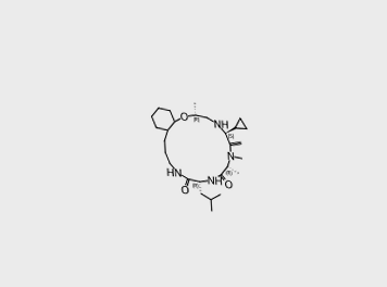 C=C1[C@H](C2CC2)NC[C@@H](C)OC2CCCCC2CCCNC(=O)[C@@H](CC(C)C)NC(=O)[C@@H](C)N1C